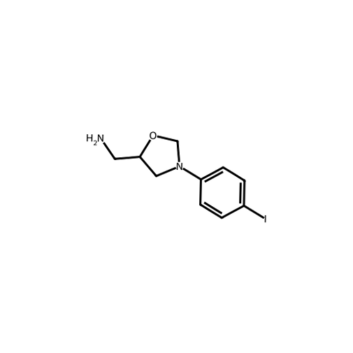 NCC1CN(c2ccc(I)cc2)CO1